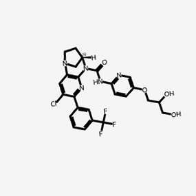 O=C(Nc1ccc(OCC(O)CO)cn1)N1c2nc(-c3cccc(C(F)(F)F)c3)c(Cl)cc2N2CC[C@H]1C2